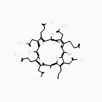 CCCc1c(CC(=O)O)c2[nH]c1c(Br)c1nc(c(Br)c3[nH]c(c(Br)c4nc(c2Br)C(CCC(=O)O)=C4CC(=O)O)c(CCC(=O)O)c3CC(=O)O)C(CCC(=O)O)=C1CC(=O)O